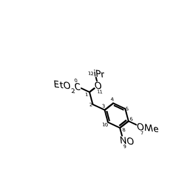 CCOC(=O)C(Cc1ccc(OC)c(N=O)c1)OC(C)C